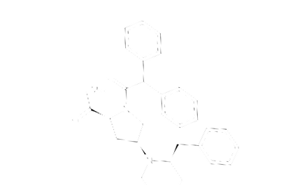 COC(=O)[C@@H]1C[C@H](N2CCOC[C@@H]2Cc2ccccc2)CN1C(=O)C(c1ccccc1)c1ccccc1